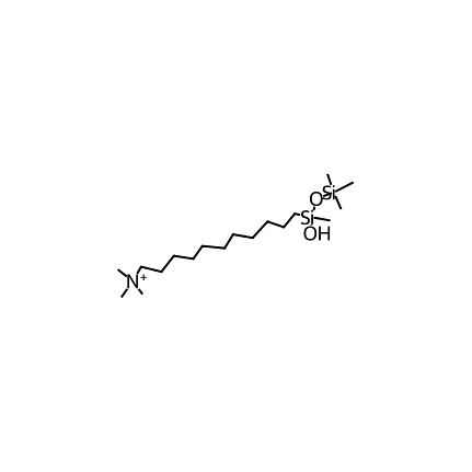 C[N+](C)(C)CCCCCCCCCCC[Si](C)(O)O[Si](C)(C)C